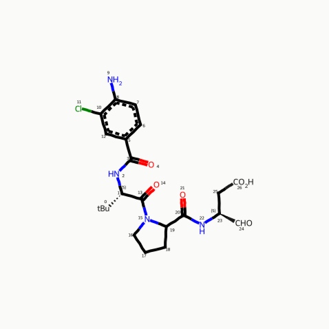 CC(C)(C)[C@H](NC(=O)c1ccc(N)c(Cl)c1)C(=O)N1CCCC1C(=O)N[C@H](C=O)CC(=O)O